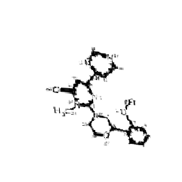 CCOc1ccccc1C1CN(c2nc(-c3ccncn3)cc(=O)n2C)CCO1